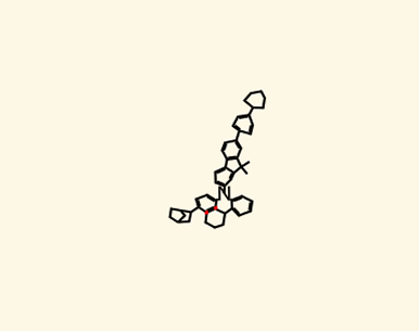 CC1(C)c2cc(-c3ccc(C4CCCCC4)cc3)ccc2-c2ccc(N(c3ccc(C4CC5CCC4C5)cc3)c3ccccc3C3CCCCC3)cc21